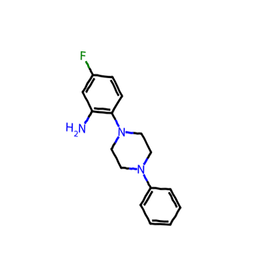 Nc1cc(F)ccc1N1CCN(c2ccccc2)CC1